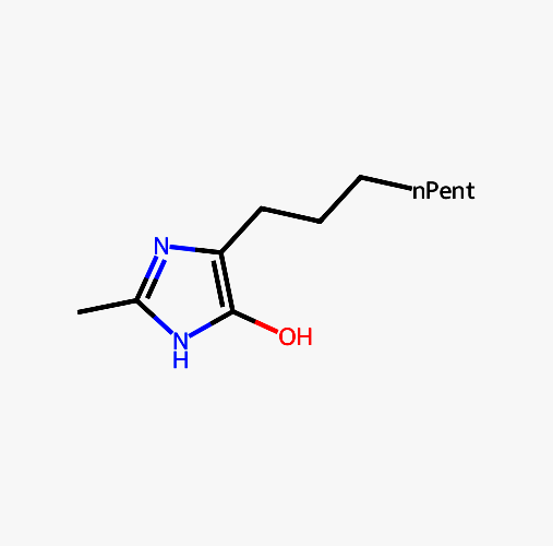 CCCCCCCCc1nc(C)[nH]c1O